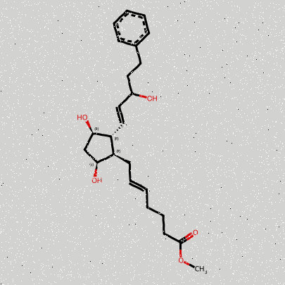 COC(=O)CCCC=CC[C@@H]1[C@@H](C=CC(O)CCc2ccccc2)[C@H](O)C[C@@H]1O